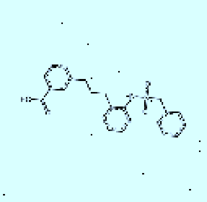 O=C(O)c1cccc(CCCc2ccccc2NS(=O)(=O)Cc2ccccc2)c1